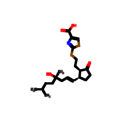 CC(C)CC[C@](C)(O)C/C=C/[C@H]1CCC(=O)[C@@H]1CCSc1nc(C(=O)O)cs1